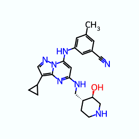 Cc1cc(C#N)cc(Nc2cc(NC[C@H]3CCNC[C@@H]3O)nc3c(C4CC4)cnn23)c1